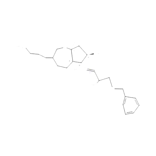 O=C(O)CCCC1CC[C@@H]2[C@@H](/C=C/C(O)COCc3ccccc3)[C@H](O)C[C@@H]2OC1